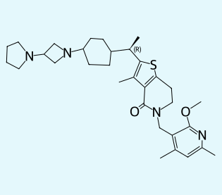 COc1nc(C)cc(C)c1CN1CCc2sc([C@H](C)C3CCC(N4CC(N5CCCC5)C4)CC3)c(C)c2C1=O